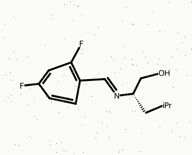 CC(C)C[C@@H](CO)N=Cc1ccc(F)cc1F